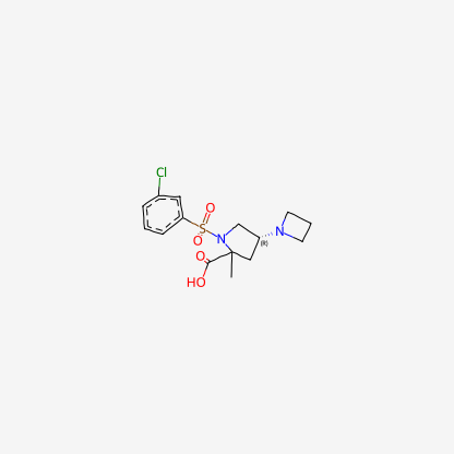 CC1(C(=O)O)C[C@@H](N2CCC2)CN1S(=O)(=O)c1cccc(Cl)c1